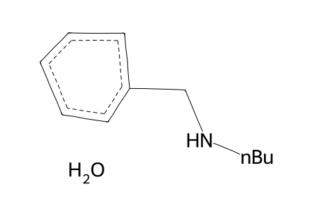 CCCCNCc1ccccc1.O